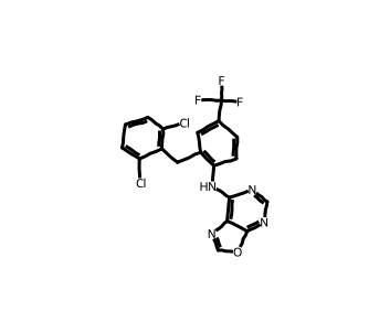 FC(F)(F)c1ccc(Nc2ncnc3ocnc23)c(Cc2c(Cl)cccc2Cl)c1